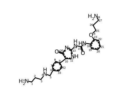 NCCCNCc1ccc(-c2c[nH]c(NC(=O)Nc3ccccc3OCCCN)nc2=O)cc1